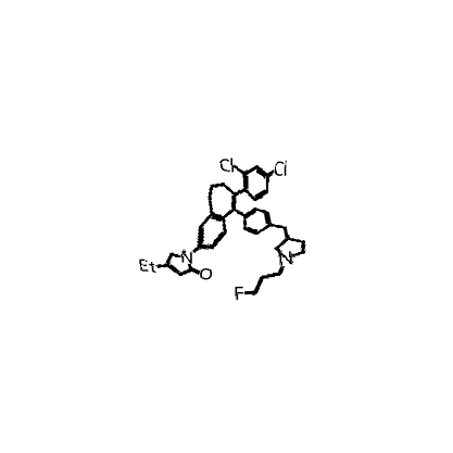 CCC1=CC(=O)N(c2ccc3c(c2)CCCC(c2ccc(Cl)cc2Cl)=C3c2ccc(CC3CCN(CCCF)C3)cc2)C1